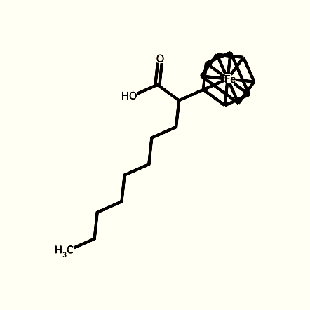 CCCCCCCCC(C(=O)O)[C]12[CH]3[CH]4[CH]5[CH]1[Fe]45321678[CH]2[CH]1[CH]6[CH]7[CH]28